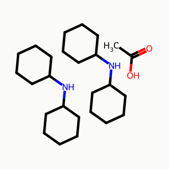 C1CCC(NC2CCCCC2)CC1.C1CCC(NC2CCCCC2)CC1.CC(=O)O